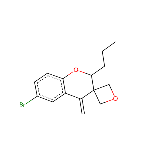 C=C1c2cc(Br)ccc2OC(CCC)C12COC2